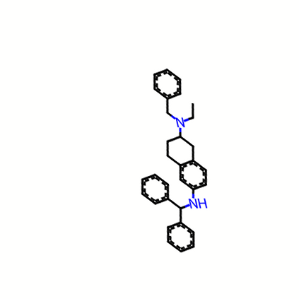 CCN(Cc1ccccc1)C1CCc2cc(NC(c3ccccc3)c3ccccc3)ccc2C1